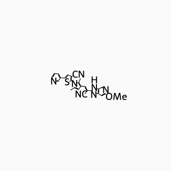 COc1cc2nc(/C(C#N)=C/c3cc(C)n(-c4sc(-c5cccnc5)cc4C#N)c3C)[nH]c2cn1